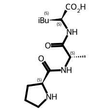 CC[C@H](C)[C@H](NC(=O)[C@H](C)NC(=O)[C@@H]1CCCN1)C(=O)O